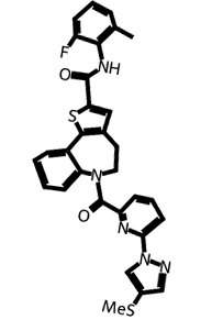 CSc1cnn(-c2cccc(C(=O)N3CCc4cc(C(=O)Nc5c(C)cccc5F)sc4-c4ccccc43)n2)c1